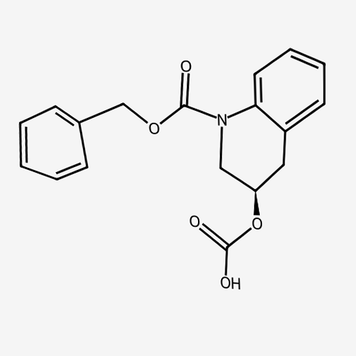 O=C(O)O[C@@H]1Cc2ccccc2N(C(=O)OCc2ccccc2)C1